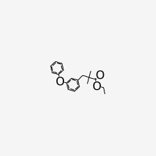 CCOC(=O)C(C)(C)Cc1cccc(Oc2ccccc2)c1